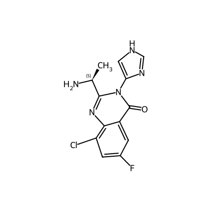 C[C@H](N)c1nc2c(Cl)cc(F)cc2c(=O)n1-c1c[nH]cn1